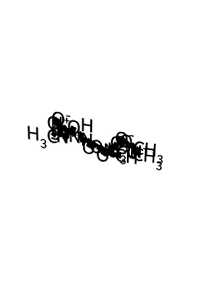 C#CCN(CCOP(=O)([O-])OCC[N+](C)(C)C)C(=O)COCC(=O)NCCNC(=O)c1cnc(SC)c([N+](=O)[O-])c1